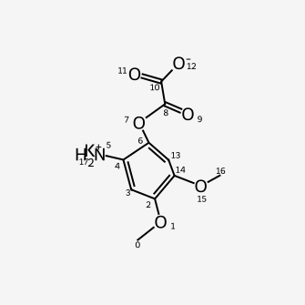 COc1cc(N)c(OC(=O)C(=O)[O-])cc1OC.[K+]